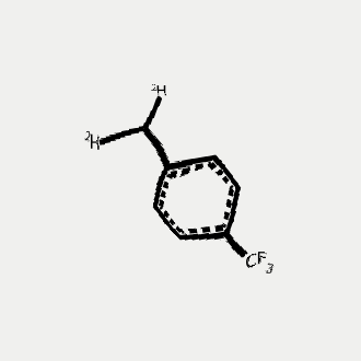 [2H]C([2H])c1ccc(C(F)(F)F)cc1